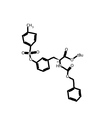 Cc1ccc(S(=O)(=O)Oc2cccc(C[C@H](NC(=O)OCc3ccccc3)C(=O)OC(C)(C)C)c2)cc1